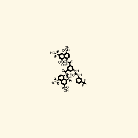 O=C(Nc1cc(C(=O)Nc2ccc(S(=O)(=O)O)c3cc(S(=O)(=O)O)cc(S(=O)(=O)O)c23)cc(C(=O)Nc2ccc(S(=O)(=O)O)c3cc(S(=O)(=O)O)cc(S(=O)(=O)O)c23)c1)Nc1cccc(C(F)(F)F)c1